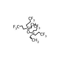 C=C[Si](CCC(F)(F)F)(CCC(F)(F)F)O[Si](C=C)(CCC(F)(F)F)CCC(F)(F)F